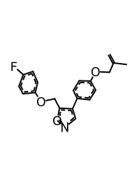 C=C(C)COc1ccc(-c2cnoc2COc2ccc(F)cc2)cc1